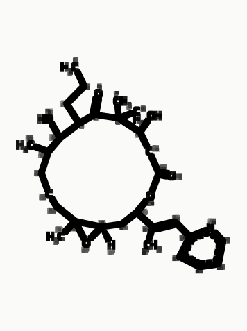 CCCC1C(=O)C(C)(C)C(O)CC(=O)OC(C(C)=Cc2ccccn2)C[C@@H]2OC2(C)CCCC(C)C1O